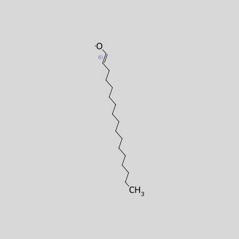 CCCCCCCCCCCCCCC/C=C/[O]